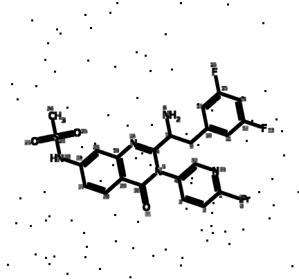 CC(C)c1ccc(-n2c(C(N)Cc3cc(F)cc(F)c3)nc3cc(NS(C)(=O)=O)ccc3c2=O)cn1